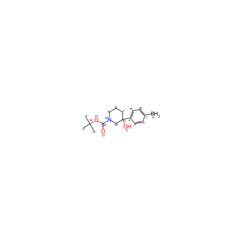 Bc1ccc(C2(O)CCCN(C(=O)OC(C)(C)C)C2)cc1